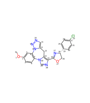 COc1ccc2c(c1)-n1nncc1Cc1c(C3=N[C@H](c4ccc(Cl)cc4)CO3)ncn1-2